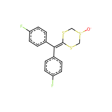 [O-][S+]1CSC(=C(c2ccc(F)cc2)c2ccc(F)cc2)SC1